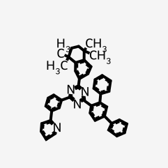 CC1(C)CCC(C)(C)c2cc(-c3nc(-c4cccc(-c5ccccn5)c4)nc(-c4ccc(-c5ccccc5)cc4-c4ccccc4)n3)ccc21